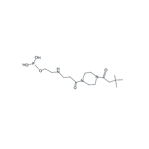 CC(C)(C)CC(=O)N1CCN(C(=O)CCNCCOP(O)O)CC1